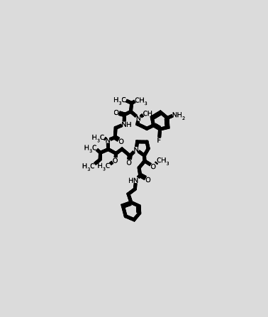 CCC(C)C(C(CC(=O)N1CCCC1C(CC(=O)NCCC1=CCCC=C1)OC)OC)N(C)C(=O)CNC(=O)C(C(C)C)N(C)CCc1ccc(N)cc1F